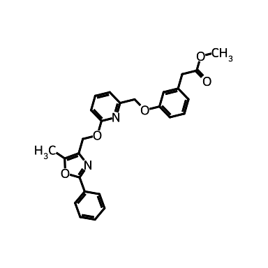 COC(=O)Cc1cccc(OCc2cccc(OCc3nc(-c4ccccc4)oc3C)n2)c1